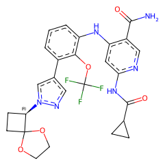 NC(=O)c1cnc(NC(=O)C2CC2)cc1Nc1cccc(-c2cnn([C@@H]3CCC34OCCO4)c2)c1OC(F)(F)F